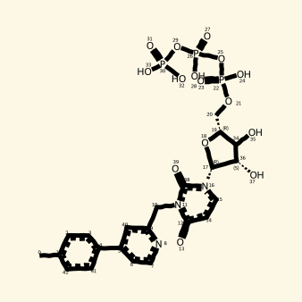 Cc1ccc(-c2ccnc(Cn3c(=O)ccn([C@@H]4O[C@H](COP(=O)(O)OP(=O)(O)OP(=O)(O)O)C(O)[C@@H]4O)c3=O)c2)cc1